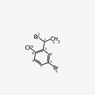 CC(Br)c1cc(Br)ccc1Cl